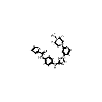 CC(=O)N1[C@H](C)CN(c2cc(-n3cnc(Nc4ccc(NC(=O)c5cccs5)cc4)n3)ccn2)C[C@@H]1C